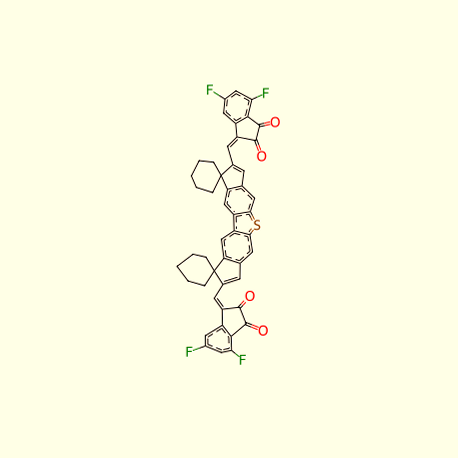 O=C1C(=O)c2c(F)cc(F)cc2/C1=C/C1=Cc2cc3sc4cc5c(cc4c3cc2C12CCCCC2)C1(CCCCC1)C(/C=C1\C(=O)C(=O)c2c(F)cc(F)cc21)=C5